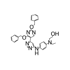 CCN(CCO)c1ccc(Nc2cc(-c3cnc(OCc4ccccc4)nc3OCc3ccccc3)ncn2)cc1